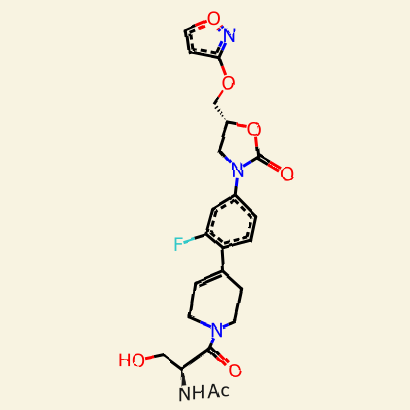 CC(=O)N[C@@H](CO)C(=O)N1CC=C(c2ccc(N3C[C@H](COc4ccon4)OC3=O)cc2F)CC1